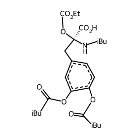 CCOC(=O)O[C@](Cc1ccc(OC(=O)C(C)CC)c(OC(=O)C(C)CC)c1)(NC(C)CC)C(=O)O